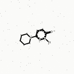 CCn1nc(N2CCCCC2)ccc1=O